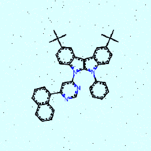 CC(C)(C)c1ccc2c(c1)c1c3cc(C(C)(C)C)ccc3n(-c3cc(-c4cccc5ccccc45)ncn3)c1n2-c1ccccc1